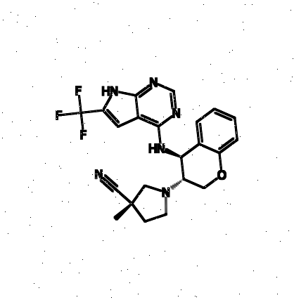 C[C@]1(C#N)CCN([C@H]2COc3ccccc3[C@@H]2Nc2ncnc3[nH]c(C(F)(F)F)cc23)C1